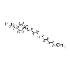 C=Cc1ccc(OCCCCCCCCCCCC)cc1